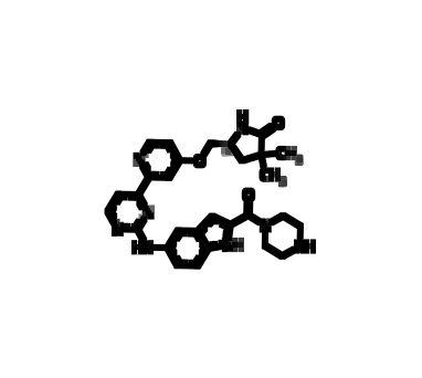 CC1(C)C[C@@H](COc2ccnc(-c3ccnc(Nc4ccc5[nH]c(C(=O)N6CCNCC6)cc5c4)n3)c2)NC1=O